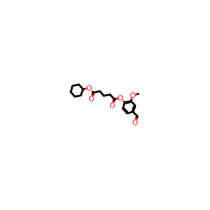 COc1cc(C=O)ccc1OC(=O)CCCC(=O)OC1CCCCC1